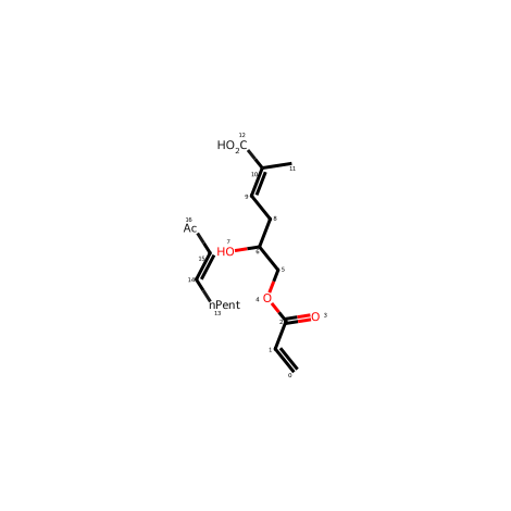 C=CC(=O)OCC(O)C/C=C(\C)C(=O)O.CCCCC/C=C/C(C)=O